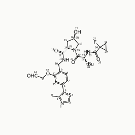 Cc1ncsc1-c1ccc(CNC(=O)[C@@H]2C[C@@H](O)CN2C(=O)[C@@H](NC(=O)C2(F)CC2)C(C)(C)C)c(OCC=O)c1